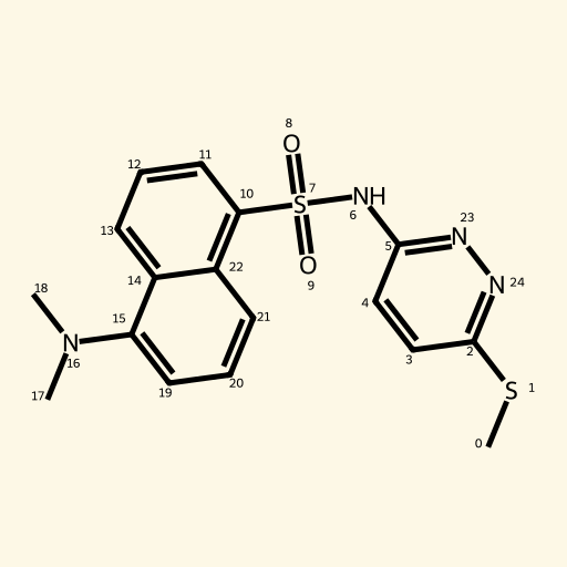 CSc1ccc(NS(=O)(=O)c2cccc3c(N(C)C)cccc23)nn1